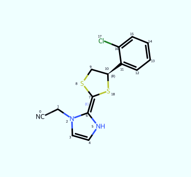 N#CCN1C=CN/C1=C1/SC[C@@H](c2ccccc2Cl)S1